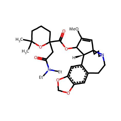 CCN(CC)C(=O)CC1(C(=O)OC2C(OC)=CC34CCCN3CCc3cc5c(cc3[C@H]24)OCO5)CCCC(C)(C)O1